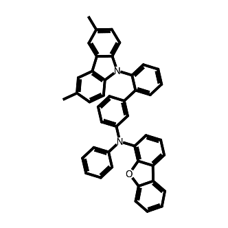 Cc1ccc2c(c1)c1cc(C)ccc1n2-c1ccccc1-c1cccc(N(c2ccccc2)c2cccc3c2oc2ccccc23)c1